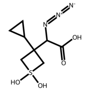 [N-]=[N+]=NC(C(=O)O)C1(C2CC2)CS(O)(O)C1